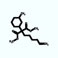 C=CCCCCC(C(=O)OC)(C(=O)OC)C1CCCC(C)C1